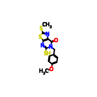 COc1ccc(Cn2c(S)nc3sc(SC)nc3c2=O)cc1